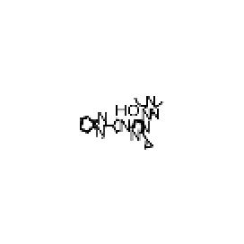 Cc1nc(C(C)O)n(-c2cc(N3CC(c4nc5ccccc5n4C)C3)nc(C3CC3)n2)n1